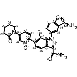 NC(=O)c1nn(-c2ccc3onc(N)c3c2)c2c(F)c(-c3ccc(N4CCCCC4=O)c[n+]3[O-])ccc12